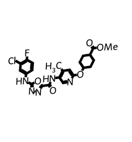 COC(=O)C1CCC(Oc2cc(C)c(NC(=O)c3nnc(Nc4ccc(F)c(Cl)c4)o3)cn2)CC1